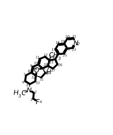 CN(CCF)[C@@H]1CCC2=CC3=CC[C@]4(C)C(c5ccc6ccncc6c5)CC[C@H]4[C@@]34CC[C@]2(C1)O4